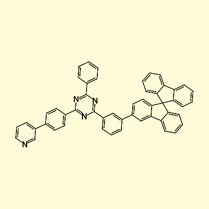 c1ccc(-c2nc(-c3ccc(-c4cccnc4)cc3)nc(-c3cccc(-c4ccc5c(c4)-c4ccccc4C54c5ccccc5-c5ccccc54)c3)n2)cc1